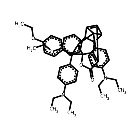 CCOc1ccc(C2(c3ccc(N(CC)CC)cc3)C3=C4C5=C6N(C3C3C6(OC5=O)C3(c3ccc(OCC)cc3)c3ccc(N(CC)CC)cc3)C42)cc1